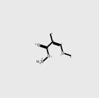 COC=C(C)C(=O)O[SiH3]